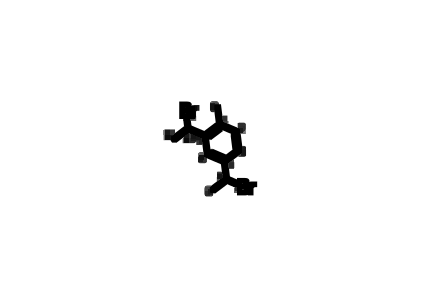 Cc1ccc(C(C)Br)cc1C(C)Br